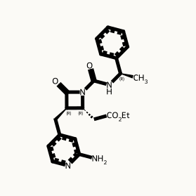 CCOC(=O)C[C@@H]1[C@@H](Cc2ccnc(N)c2)C(=O)N1C(=O)N[C@H](C)c1ccccc1